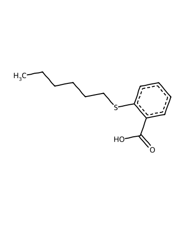 CCCCCCSc1ccccc1C(=O)O